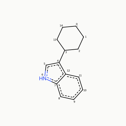 [CH]1CCC(c2c[nH]c3ccccc23)CC1